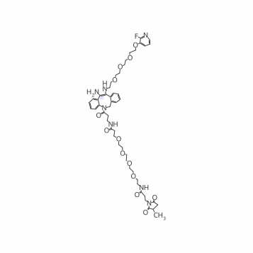 CC1CC(=O)N(CCC(=O)NCCOCCOCCOCCOCCC(=O)NCCC(=O)N2Cc3ccccc3/C(NCCOCCOCCOCCOc3cccnc3F)=C(/N)c3ccccc32)C1=O